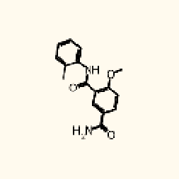 COc1ccc(C(N)=O)cc1C(=O)Nc1ccccc1C